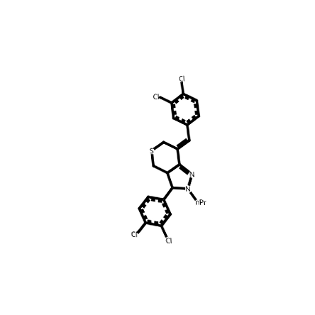 CCCN1N=C2C(=Cc3ccc(Cl)c(Cl)c3)CSCC2C1c1ccc(Cl)c(Cl)c1